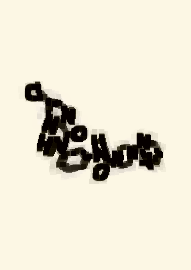 O=C(Nc1cccc(NC(=O)N2CCN(c3ncccn3)CC2)c1)c1ncc(Cl)cn1